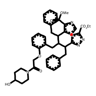 CCOC(=O)c1nnc(C(Cc2ccccc2)[C](Cc2ccccc2OCC(=O)N2CCC(O)CC2)C(Cc2ccccc2)c2ocnc2C(=O)OC)o1